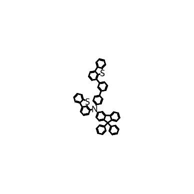 c1ccc(C2(c3ccccc3)c3ccccc3-c3cc(N(c4ccc(-c5cccc(-c6cccc7c6sc6ccccc67)c5)cc4)c4cccc5c4sc4ccccc45)ccc32)cc1